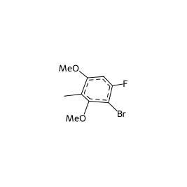 COc1cc(F)c(Br)c(OC)c1C